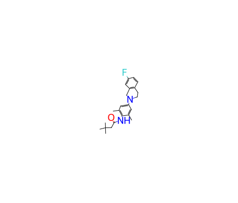 Cc1cc(N2CCc3ccc(F)cc3C2)cc(C)c1NC(=O)CC(C)(C)C